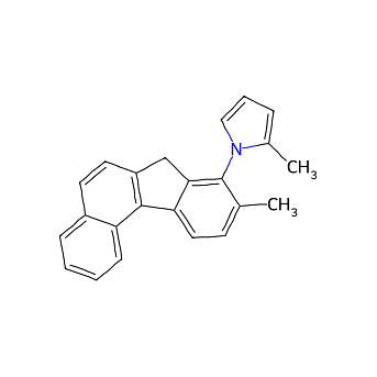 Cc1ccc2c(c1-n1cccc1C)Cc1ccc3ccccc3c1-2